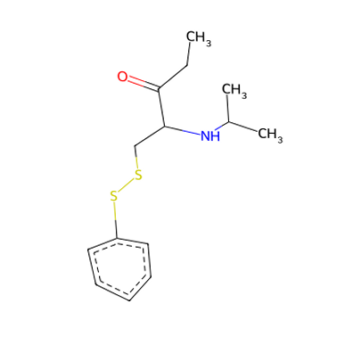 CCC(=O)C(CSSc1ccccc1)NC(C)C